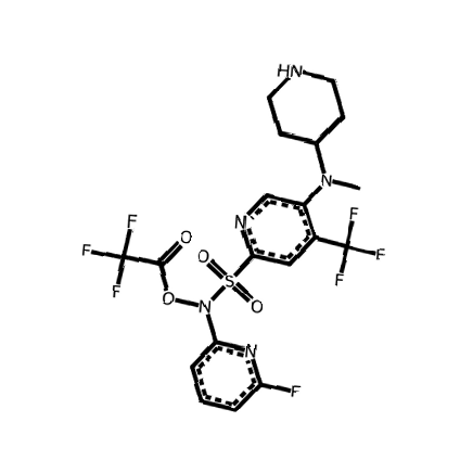 CN(c1cnc(S(=O)(=O)N(OC(=O)C(F)(F)F)c2cccc(F)n2)cc1C(F)(F)F)C1CCNCC1